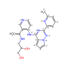 C=C(NCC(O)CO)c1cnccc1Nc1nc(-c2cccc(C)n2)nn2cccc12